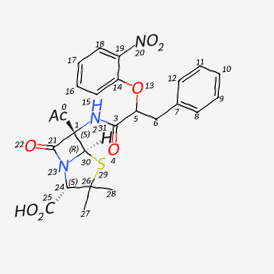 CC(=O)[C@]1(NC(=O)C(Cc2ccccc2)Oc2ccccc2[N+](=O)[O-])C(=O)N2[C@@H](C(=O)O)C(C)(C)S[C@@H]21